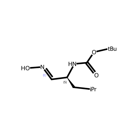 CC(C)C[C@@H](/C=N/O)NC(=O)OC(C)(C)C